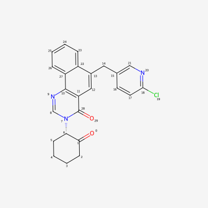 O=C1CCCC[C@@H]1n1cnc2c(cc(Cc3ccc(Cl)nc3)c3ccccc32)c1=O